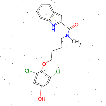 CN(CCCCOc1c(Cl)cc(O)cc1Cl)C(=O)c1cc2ccccc2[nH]1